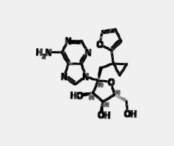 Nc1ncnc2c1ncn2[C@]1(CC2(c3ccco3)CC2)O[C@H](CO)[C@@H](O)[C@H]1O